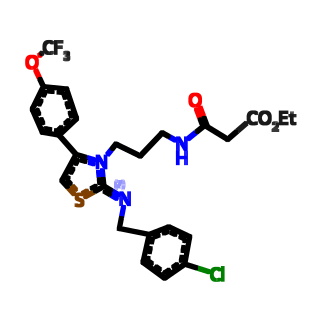 CCOC(=O)CC(=O)NCCCn1c(-c2ccc(OC(F)(F)F)cc2)cs/c1=N\Cc1ccc(Cl)cc1